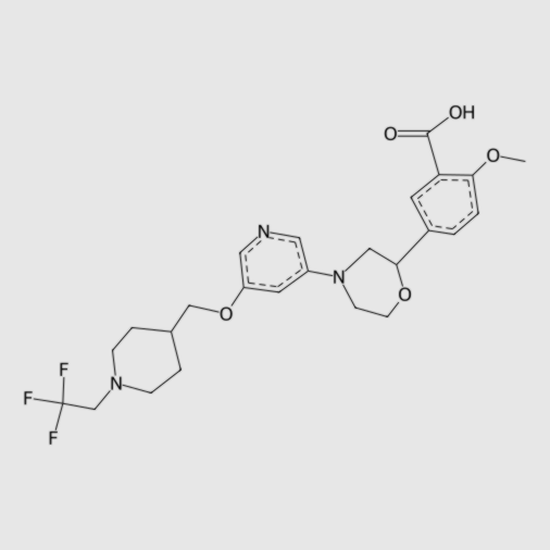 COc1ccc(C2CN(c3cncc(OCC4CCN(CC(F)(F)F)CC4)c3)CCO2)cc1C(=O)O